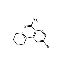 NC(=O)c1ccc(Br)cc1C1=CCCCC1